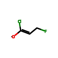 [O]C(Cl)=CCF